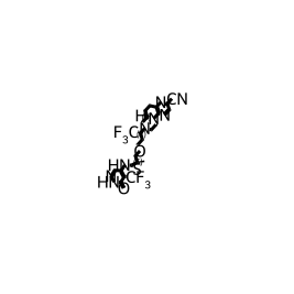 C[C@@]1(COCC[C@@H](N2CCN3c4ncc(C#N)nc4CC[C@@H]3C2)C(F)(F)F)SC1Nc1cn[nH]c(=O)c1C(F)(F)F